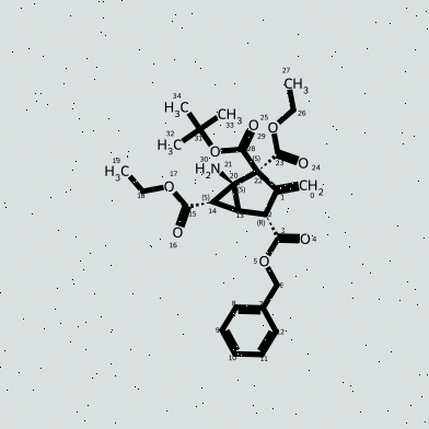 C=C1[C@H](C(=O)OCc2ccccc2)C2[C@H](C(=O)OCC)[C@]2(N)[C@@]1(C(=O)OCC)C(=O)OC(C)(C)C